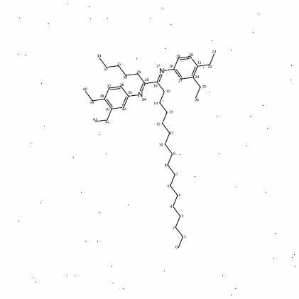 CCCCCCCCCCCCCCCCC(=Nc1ccc(CC)c(CC)c1)C(CCCCC)=Nc1ccc(CC)c(CC)c1